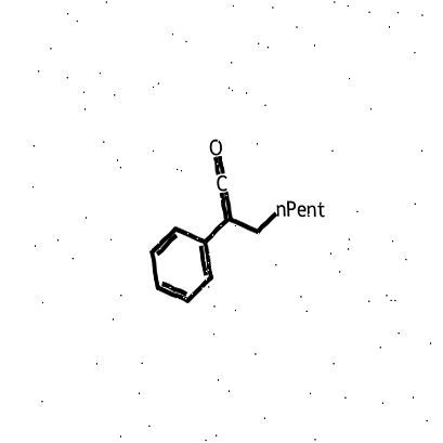 CCCCCCC(=C=O)c1ccccc1